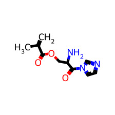 C=C(C)C(=O)OCC(N)C(=O)n1ccnc1